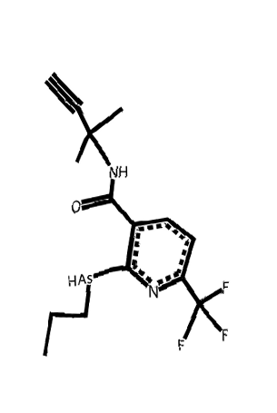 C#CC(C)(C)NC(=O)c1ccc(C(F)(F)F)nc1[AsH]CCC